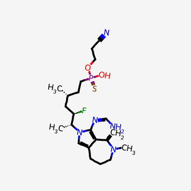 C=C1c2c(cn([C@H](C)[C@H](F)C[C@H](C)CCP(O)(=S)OCCC#N)c2/N=C\N)CCCN1C